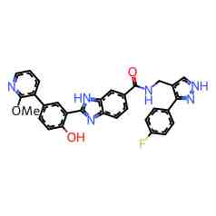 COc1ncccc1-c1ccc(O)c(-c2nc3ccc(C(=O)NCc4c[nH]nc4-c4ccc(F)cc4)cc3[nH]2)c1